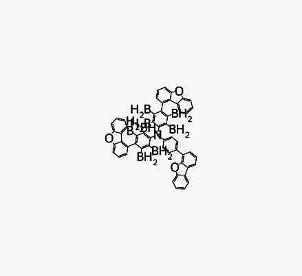 Bc1c(B)c(N(c2ccc(-c3cccc4c3oc3ccccc34)cc2)c2c(B)c(B)c(-c3cccc4oc5ccccc5c34)c(B)c2B)c(B)c(B)c1-c1cccc2oc3ccccc3c12